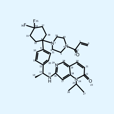 C=CC(=O)N1CCN(C2(c3ccc([C@H](C)Nc4cc5c(ccc(=O)n5C(C)C)cn4)cc3)CCC(F)(F)CC2)CC1